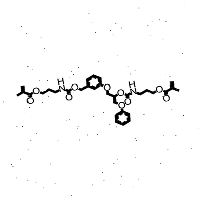 C=C(C)C(=O)OCCCNC(=O)OCc1cccc(OCC(COc2ccccc2)OC(=O)NCCCOC(=O)C(=C)C)c1